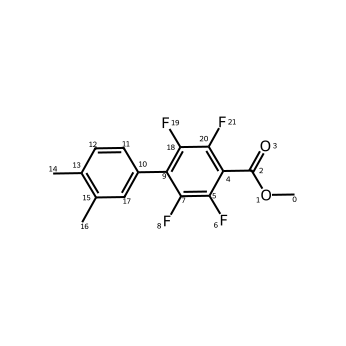 COC(=O)c1c(F)c(F)c(-c2ccc(C)c(C)c2)c(F)c1F